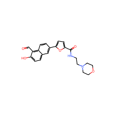 O=Cc1c(O)ccc2cc(-c3ccc(C(=O)NCCN4CCOCC4)o3)ccc12